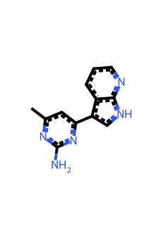 Cc1cc(-c2c[nH]c3ncccc23)nc(N)n1